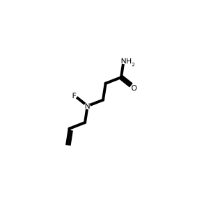 C=CCN(F)CCC(N)=O